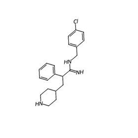 N=C(NCc1ccc(Cl)cc1)C(CC1CCNCC1)c1ccccc1